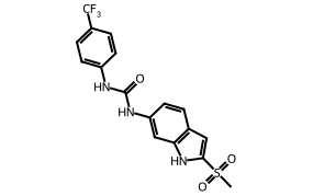 CS(=O)(=O)c1cc2ccc(NC(=O)Nc3ccc(C(F)(F)F)cc3)cc2[nH]1